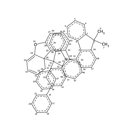 CC1(C)c2ccccc2-c2c(N(c3ccc(-c4ccccc4)cc3)c3cccc4c3C3(C5(c6ccccc6)c6ccccc6-c6ccccc65)CC=CC=C3O4)cccc21